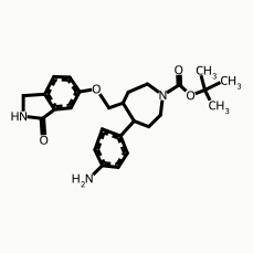 CC(C)(C)OC(=O)N1CCC(COc2ccc3c(c2)C(=O)NC3)C(c2ccc(N)cc2)CC1